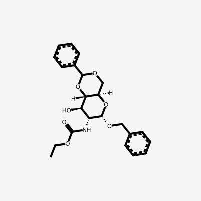 CCOC(=O)N[C@H]1[C@@H](OCc2ccccc2)O[C@@H]2COC(c3ccccc3)O[C@H]2[C@@H]1O